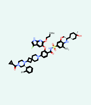 COCCOc1nc2[nH]cc(F)c2cc1Oc1cc(N2CCC3(CC2)CC(N2CCN(C(=O)C4CC4)C[C@H]2c2ccccc2C(C)C)C3)ccc1C(=O)NS(=O)(=O)c1cc2c(c([N+](=O)[O-])c1)N[C@@H]([C@H]1CC[C@](C)(O)CC1)CO2